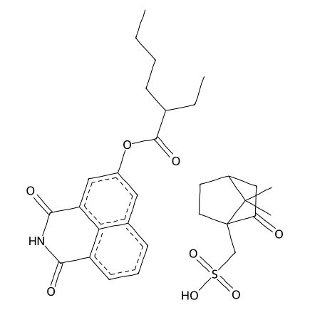 CC1(C)C2CCC1(CS(=O)(=O)O)C(=O)C2.CCCCC(CC)C(=O)Oc1cc2c3c(cccc3c1)C(=O)NC2=O